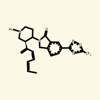 C=C(/C=C\C=C/C)[C@H]1CN(C(C)=O)CCC1N1Cc2ccc(-c3noc(C(F)(F)F)n3)cc2C1=O